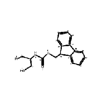 CC(C)C[C@H](CO)NC(=O)OCC1c2ccccc2-c2ccccc21